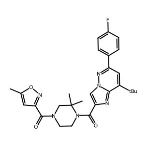 Cc1cc(C(=O)N2CCN(C(=O)c3cn4nc(-c5ccc(F)cc5)cc(C(C)(C)C)c4n3)C(C)(C)C2)no1